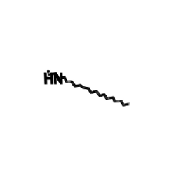 [CH2]CNCCCCCCCCCCCCCCCCC